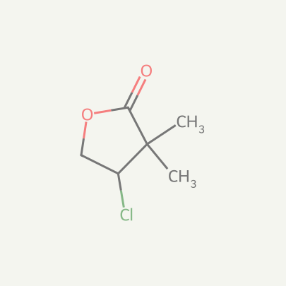 CC1(C)C(=O)OCC1Cl